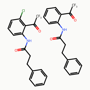 O=C(CCc1ccccc1)Nc1cccc(Cl)c1C(=O)C(F)(F)F.O=C(CCc1ccccc1)Nc1ccccc1C(=O)C(F)(F)F